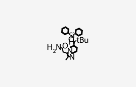 Cc1nc2ccc(C(O[SiH](c3ccccc3)c3ccccc3)C(C)(C)C)cn2c1CC(N)=O